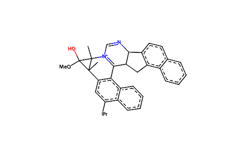 COC1(O)C2(C)c3cc(C(C)C)c4ccccc4c3C3=[N+](C=NC4c5ccc6ccccc6c5CC34)C12C